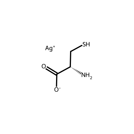 N[C@@H](CS)C(=O)[O-].[Ag+]